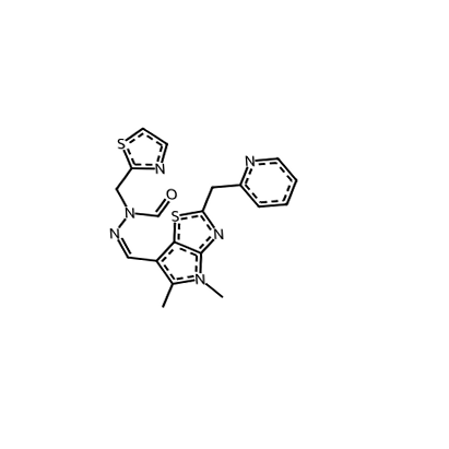 Cc1c(/C=N\N(C=O)Cc2nccs2)c2sc(Cc3ccccn3)nc2n1C